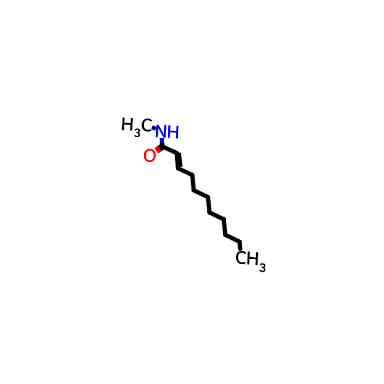 CCCCCCCC/C=C/C(=O)NC